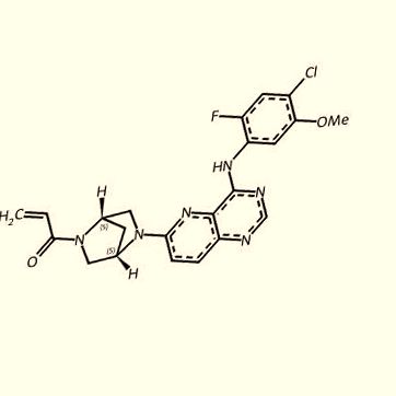 C=CC(=O)N1C[C@@H]2C[C@H]1CN2c1ccc2ncnc(Nc3cc(OC)c(Cl)cc3F)c2n1